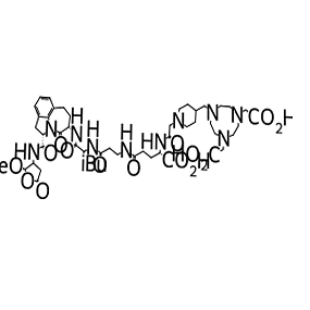 CC[C@H](C)[C@H](NC(=O)CCNC(=O)CC[C@H](NC(=O)CN1CCC(CN2CCN(CC(=O)O)CCN(CC(=O)O)CC2)CC1)C(=O)O)C(=O)N[C@H]1CCc2cccc3c2N(C1=O)[C@H](C(=O)N[C@H]1CC(=O)O[C@H]1OC)C3